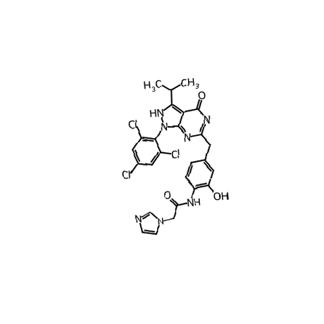 CC(C)c1[nH]n(-c2c(Cl)cc(Cl)cc2Cl)c2nc(Cc3ccc(NC(=O)Cn4ccnc4)c(O)c3)nc(=O)c1-2